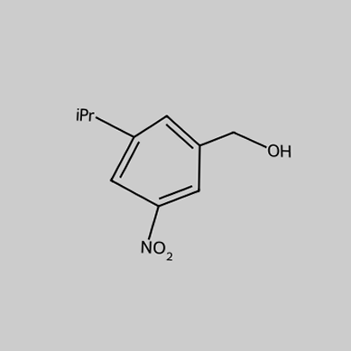 CC(C)c1cc(CO)cc([N+](=O)[O-])c1